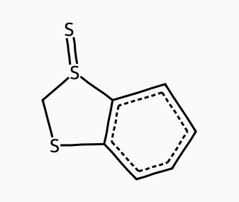 S=S1CSc2ccccc21